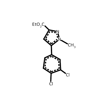 CCOC(=O)c1cc(-c2ccc(Cl)c(Cl)c2)n(C)n1